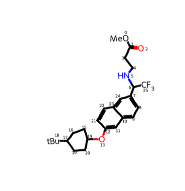 COC(=O)CCNC(c1ccc2cc(OC3CCC(C(C)(C)C)CC3)ccc2c1)C(F)(F)F